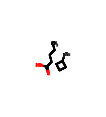 CCCCC(=O)O.CCCCC1CCC1